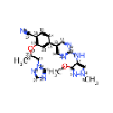 COc1nn(C)cc1Nc1ncc(-c2ccc(C#N)c(O[C@@H](C)Cn3cncn3)c2)cn1